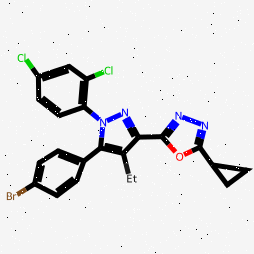 CCc1c(-c2nnc(C3CC3)o2)nn(-c2ccc(Cl)cc2Cl)c1-c1ccc(Br)cc1